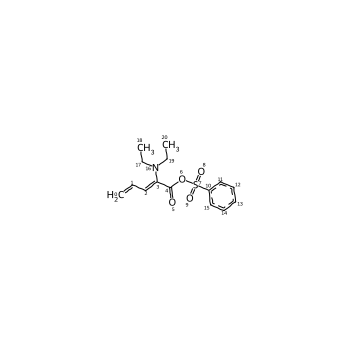 C=CC=C(C(=O)OS(=O)(=O)c1ccccc1)N(CC)CC